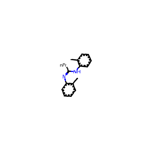 CCCC(=Nc1ccccc1C)Nc1ccccc1C